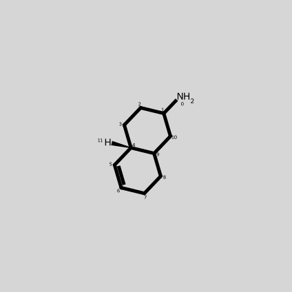 NC1CC[C@H]2C=CCCC2C1